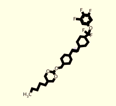 CCCCCC1COC(OCC2CCC(/C=C/C3CCC(C(F)(F)Oc4cc(F)c(F)c(F)c4)CC3)CC2)OC1